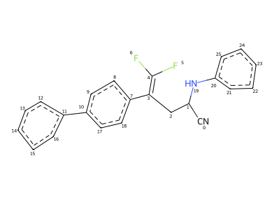 N#CC(CC(=C(F)F)c1ccc(-c2ccccc2)cc1)Nc1ccccc1